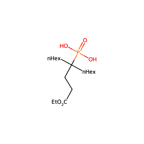 CCCCCCC(CCCCCC)(CCC(=O)OCC)P(=O)(O)O